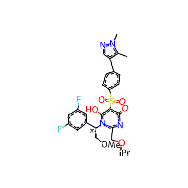 COC[C@@H](c1cc(F)cc(F)c1)n1c(COC(C)C)nc(=O)c(S(=O)(=O)c2ccc(-c3cnn(C)c3C)cc2)c1O